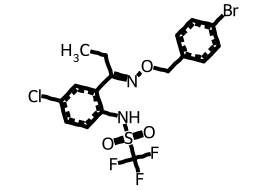 CC/C(=N\OCc1ccc(Br)cc1)c1cc(Cl)ccc1NS(=O)(=O)C(F)(F)F